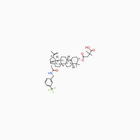 C=C(C)[C@@H]1CC[C@]2(CC(=O)NCc3cccc(C(F)(F)F)c3)CC[C@]3(C)[C@H](CC[C@@H]4[C@@]5(C)CC[C@H](OC(=O)CC(C)(C)C(=O)O)C(C)(C)[C@@H]5CC[C@]43C)[C@@H]12